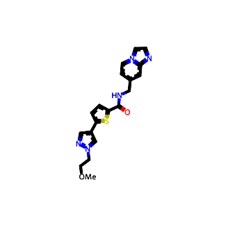 COCCn1cc(-c2ccc(C(=O)NCc3ccn4ccnc4c3)s2)cn1